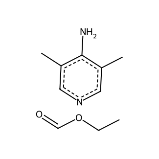 CCOC=O.Cc1cncc(C)c1N